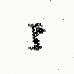 CCCC(C)CCCN(CCOc1ccc(CC(OCC)C(=O)O)cc1)C(=O)Nc1ccc(F)cc1F